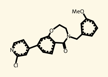 COc1cccc(CN2CCOc3cc(-c4ccnc(Cl)c4)ccc3C2=O)c1